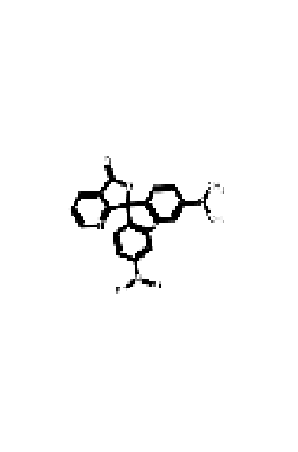 CCN(CC)c1ccc(C2(c3ccc(N(C)C)cc3)OC(=O)c3cccnc32)c(Cl)c1